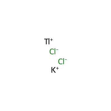 [Cl-].[Cl-].[K+].[Tl+]